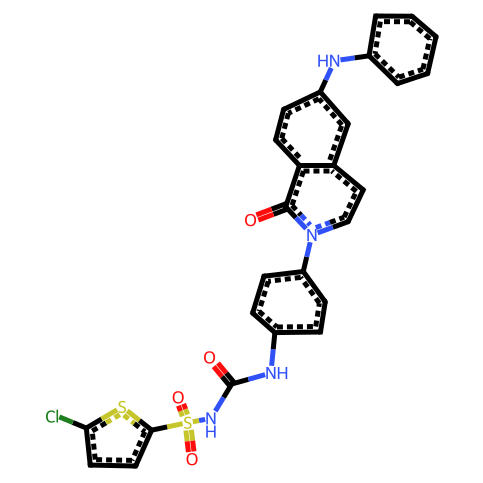 O=C(Nc1ccc(-n2ccc3cc(Nc4ccccc4)ccc3c2=O)cc1)NS(=O)(=O)c1ccc(Cl)s1